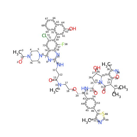 CC(=O)N1CCN(c2nc(NCCC(=O)N(C)CCOC[C@H](NC(=O)[C@@H]3C[C@@H](O)CN3C(=O)C(c3cc(C)no3)C(C)C)c3ccc(-c4scnc4C)cc3)nc3c(F)c(-c4cc(O)cc5ccccc45)c(Cl)cc23)CC1